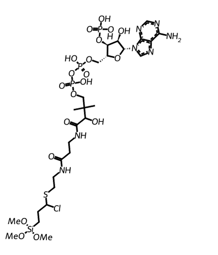 CO[Si](CCC(Cl)SCCNC(=O)CCNC(=O)C(O)C(C)(C)COP(=O)(O)OP(=O)(O)OC[C@H]1O[C@@H](n2cnc3c(N)ncnc32)[C@H](O)[C@@H]1OP(=O)(O)O)(OC)OC